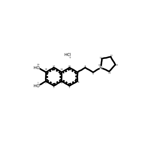 Cl.Oc1cc2ccc(CCN3CCCC3)cc2cc1O